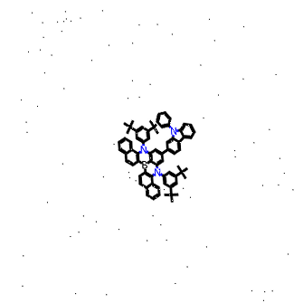 CC(C)(C)c1cc(N2c3cc(-c4ccc5c6ccccc6n(-c6ccccc6)c5c4)cc4c3B(c3ccc5ccccc5c32)c2ccc3ccccc3c2N4c2cc(C(C)(C)C)cc(C(C)(C)C)c2)cc(C(C)(C)C)c1